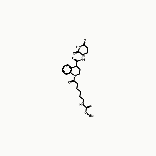 CC(C)(C)OC(=O)NCCCCCC(=O)N1CCC(C(=O)N[C@H]2CCC(=O)NC2=O)c2ccccc21